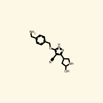 N#Cc1c(C2CNC(O)C2)n[nH]c1OCc1ccc(CN)cc1